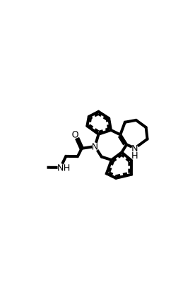 CNCCC(=O)N1Cc2ccccc2C2=C(CCCCN2)c2ccccc21